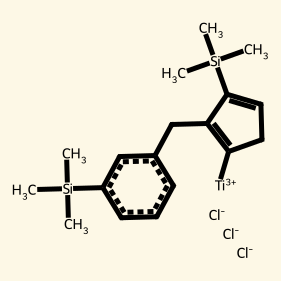 C[Si](C)(C)C1=CC[C]([Ti+3])=C1Cc1cccc([Si](C)(C)C)c1.[Cl-].[Cl-].[Cl-]